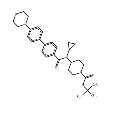 CC(C)(C)OC(=O)N1CCC(N(C(=O)c2ccc(-c3ccc(N4CCOCC4)cc3)cc2)C2CC2)CC1